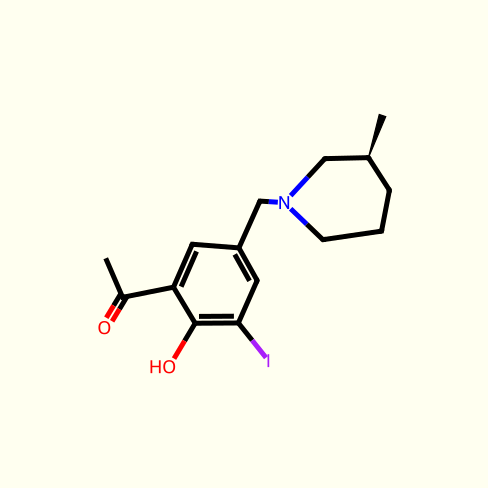 CC(=O)c1cc(CN2CCC[C@H](C)C2)cc(I)c1O